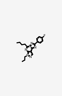 CCCCc1nc2c(cnn2CCC)c2nc(-c3ccc(F)cc3)nn12